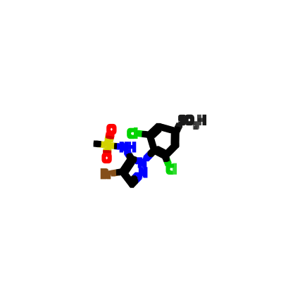 CS(=O)(=O)Nc1c(Br)cnn1-c1c(Cl)cc(S(=O)(=O)O)cc1Cl